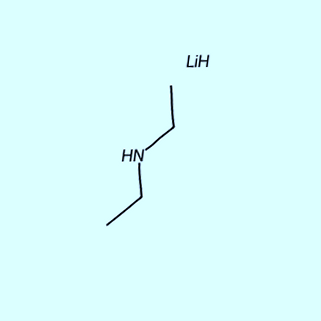 CCNCC.[LiH]